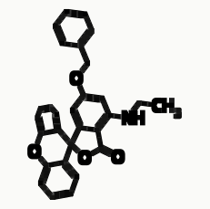 CCNc1cc(OCc2ccccc2)cc2c1C(=O)OC21c2ccccc2Oc2ccccc21